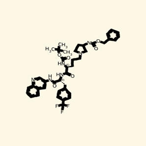 CC(C)(C)OC(=O)N[C@@H](CCCN1CCC(NC(=O)OCc2ccccc2)C1)C(=O)N[C@H](Cc1ccc(C(F)(F)F)cc1)C(=O)Nc1cnc2ccccc2c1